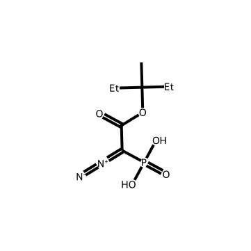 CCC(C)(CC)OC(=O)C(=[N+]=[N-])P(=O)(O)O